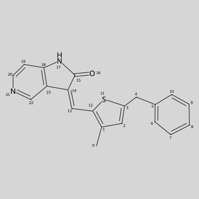 Cc1cc(Cc2ccccc2)sc1C=C1C(=O)Nc2ccncc21